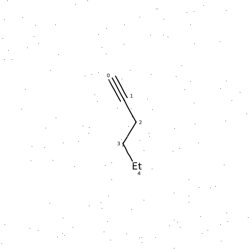 C#CC[CH]C[CH2]